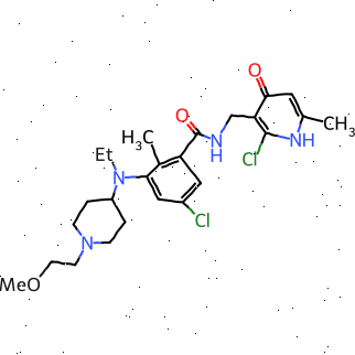 CCN(c1cc(Cl)cc(C(=O)NCc2c(Cl)[nH]c(C)cc2=O)c1C)C1CCN(CCOC)CC1